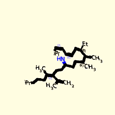 C=C(C)/C(CCC(=N)CC[C@@H](C)C(C)[C@H](CC)C/C=C\C=C/C(C)C)=C(/C)CCCC(C)C